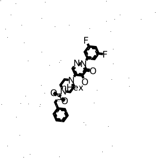 CCCCCCOc1c(N2CCN(S(=O)(=O)Cc3ccccc3)CC2)cnn(-c2cc(F)cc(F)c2)c1=O